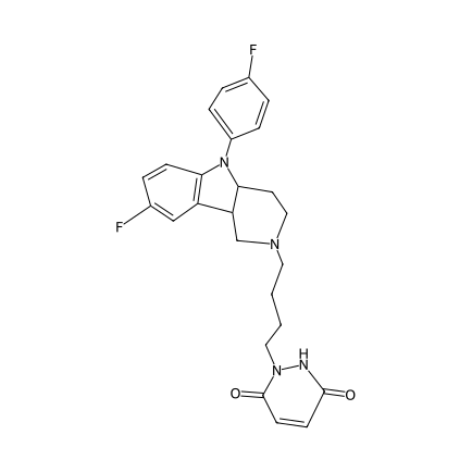 O=c1ccc(=O)n(CCCCN2CCC3C(C2)c2cc(F)ccc2N3c2ccc(F)cc2)[nH]1